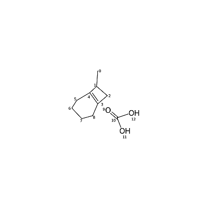 CC1CC2=C1CCCC2.O=C(O)O